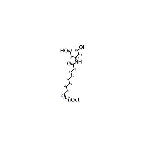 CCCCCCCC/C=C\CCCCCCCC(=O)NC(CCO)CCO